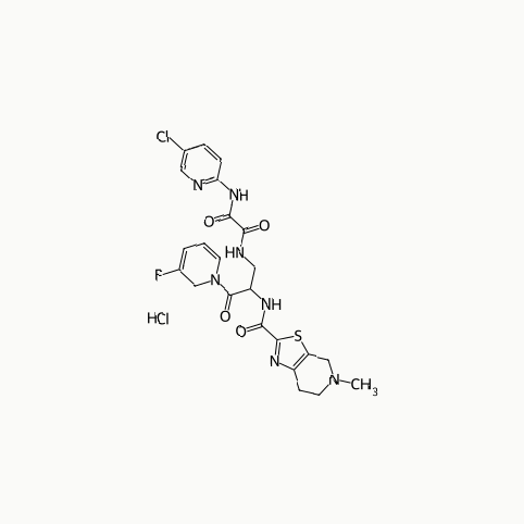 CN1CCc2nc(C(=O)NC(CNC(=O)C(=O)Nc3ccc(Cl)cn3)C(=O)N3C=CC=C(F)C3)sc2C1.Cl